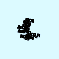 CC(=O)OC1C(COC(C(=O)O)P(NC(C)C)OCC#N)OC(N2N=NC(C(=O)C#N)C(=O)C2=O)C1OC(C)=O